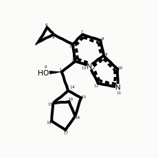 O[C@@H](c1c(C2CC2)ccc2cncn12)C1CC2CCC1C2